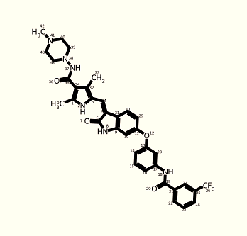 Cc1[nH]c(/C=C2\C(=O)Nc3cc(Oc4cccc(NC(=O)c5cccc(C(F)(F)F)c5)c4)ccc32)c(C)c1C(=O)NN1CCN(C)CC1